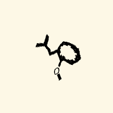 C=C(C)Cc1ccccc1OC